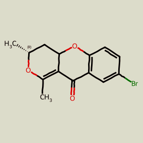 CC1=C2C(=O)c3cc(Br)ccc3OC2C[C@@H](C)O1